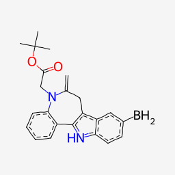 Bc1ccc2[nH]c3c(c2c1)CC(=C)N(CC(=O)OC(C)(C)C)c1ccccc1-3